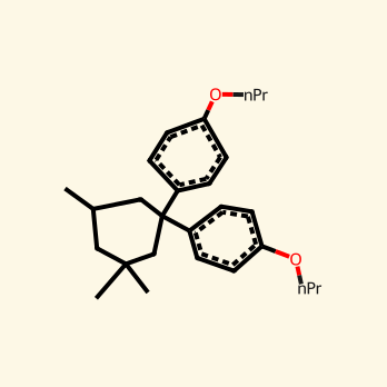 CCCOc1ccc(C2(c3ccc(OCCC)cc3)CC(C)CC(C)(C)C2)cc1